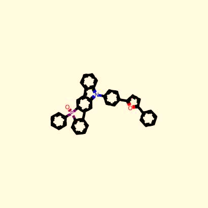 O=P1(c2ccccc2)c2ccccc2-c2cc3c(cc21)c1ccccc1n3-c1ccc(-c2ccc(-c3ccccc3)o2)cc1